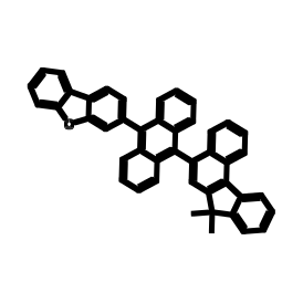 CC1(C)c2ccccc2-c2c1cc(-c1c3ccccc3c(-c3ccc4c(c3)oc3ccccc34)c3ccccc13)c1ccccc21